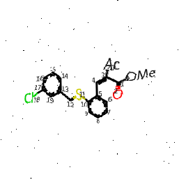 COC(=O)C(=Cc1ccccc1SCc1cccc(Cl)c1)C(C)=O